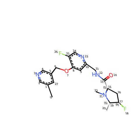 Cc1cncc(COc2cc(CNC(=O)[C@@H]3C[C@@H](F)[C@H](C)N3C)ncc2F)c1